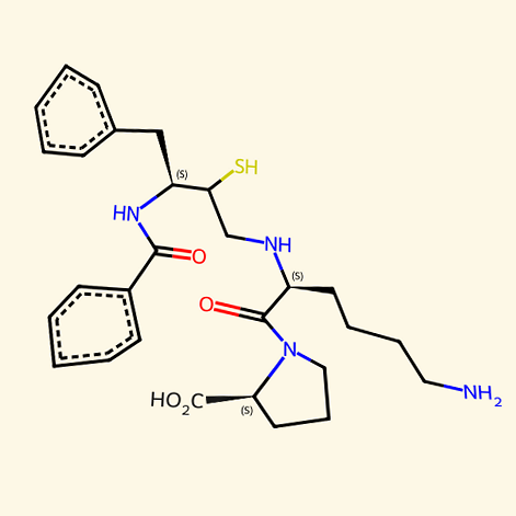 NCCCC[C@H](NCC(S)[C@H](Cc1ccccc1)NC(=O)c1ccccc1)C(=O)N1CCC[C@H]1C(=O)O